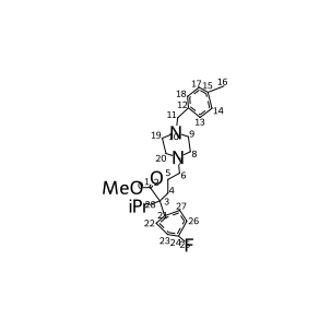 COC(=O)C(CCCN1CCN(Cc2ccc(C)cc2)CC1)(c1ccc(F)cc1)C(C)C